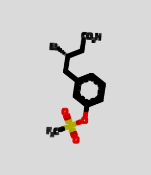 CC[C@H](CC(=O)O)Cc1cccc(OS(=O)(=O)C(F)(F)F)c1